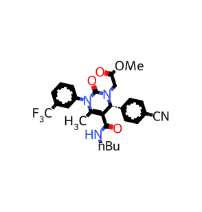 CCCCNC(=O)C1=C(C)N(c2cccc(C(F)(F)F)c2)C(=O)N(CC(=O)OC)[C@@H]1c1ccc(C#N)cc1